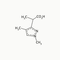 Cc1cn(C)nc1C(C)C(=O)O